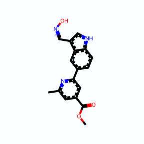 COC(=O)c1cc(C)nc(-c2ccc3[nH]cc(/C=N\O)c3c2)c1